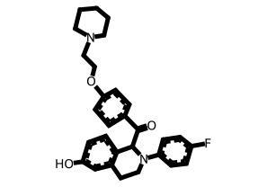 O=C(c1ccc(OCCN2CCCCC2)cc1)C1c2ccc(O)cc2CCN1c1ccc(F)cc1